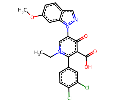 CCn1cc(-n2ncc3ccc(OC)cc32)c(=O)c(C(=O)O)c1-c1ccc(Cl)c(Cl)c1